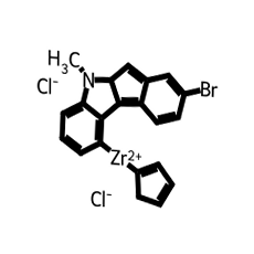 CN1c2ccc[c]([Zr+2][C]3=CC=CC3)c2C2=c3ccc(Br)cc3=CC21.[Cl-].[Cl-]